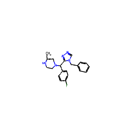 CC1CN(C(c2ccc(F)cc2)c2nncn2Cc2ccccc2)CCN1